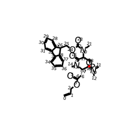 C=CCOC(=O)C[C@@H](C(=O)N(C)C)N(C)C(=O)C(CC(C)C)N(C)C(=O)OCC1c2ccccc2-c2ccccc21